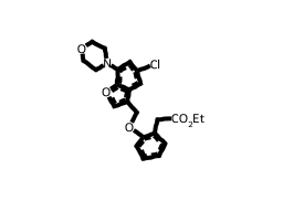 CCOC(=O)Cc1ccccc1OCc1coc2c(N3CCOCC3)cc(Cl)cc12